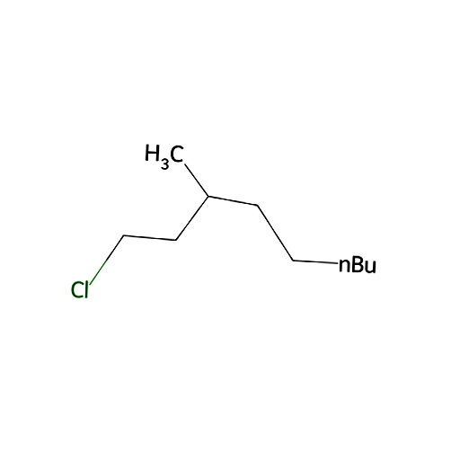 CCCCCCC(C)CCCl